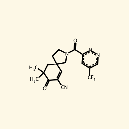 CC1(C)C[C@@]2(C=C(C#N)C1=O)CCN(C(=O)c1cc(C(F)(F)F)cnn1)C2